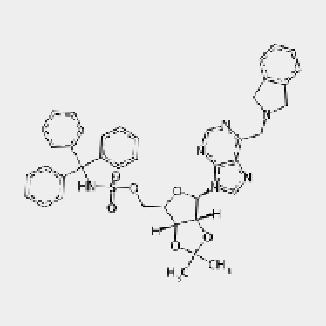 CC1(C)O[C@@H]2[C@H](O1)[C@@H](COS(=O)(=O)NC(c1ccccc1)(c1ccccc1)c1ccccc1)O[C@H]2n1cnc2c(CN3Cc4ccccc4C3)ncnc21